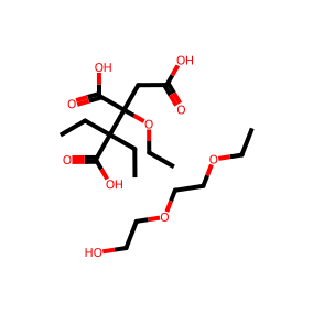 CCOC(CC(=O)O)(C(=O)O)C(CC)(CC)C(=O)O.CCOCCOCCO